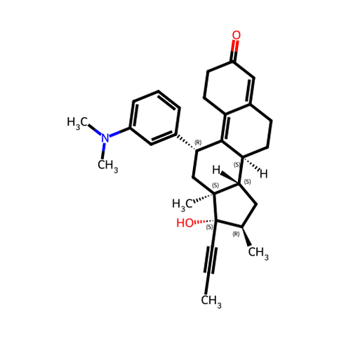 CC#C[C@]1(O)[C@H](C)C[C@H]2[C@@H]3CCC4=CC(=O)CCC4=C3[C@@H](c3cccc(N(C)C)c3)C[C@@]21C